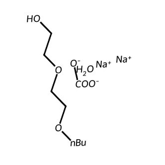 CCCCOCCOCCO.O.O=C([O-])[O-].[Na+].[Na+]